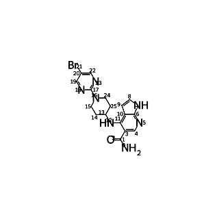 NC(=O)c1cnc2[nH]ccc2c1NC1CCN(c2ncc(Br)cn2)CC1